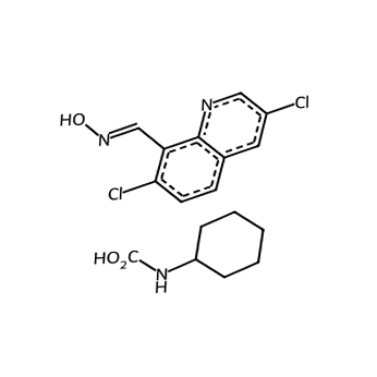 O=C(O)NC1CCCCC1.ON=Cc1c(Cl)ccc2cc(Cl)cnc12